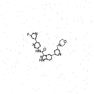 O=C(Nc1ccc(-c2cncc(F)c2)nc1)c1n[nH]c2ccc(-c3cncc(CN4CCOCC4)c3)cc12